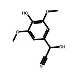 COc1cc(C(O)C#N)cc(OC)c1O